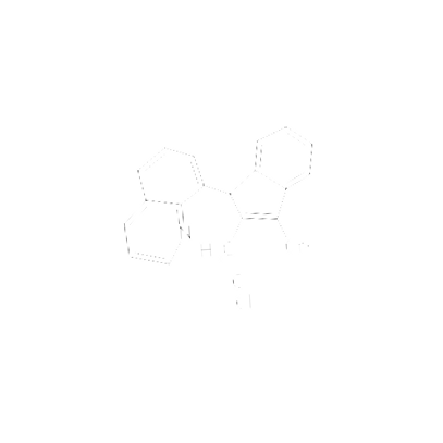 CC1=[C]([Cr+2])c2ccccc2C1c1cccc2cccnc12.[Cl-].[Cl-]